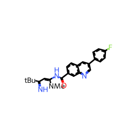 CN/C(=C\C(=N)C(C)(C)C)NC(=O)c1ccc2cc(-c3ccc(F)cc3)cnc2c1